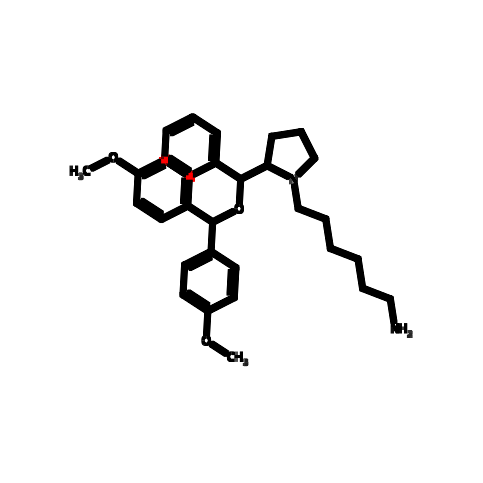 COc1ccc(C(OC(c2ccccc2)C2CCCN2CCCCCCN)c2ccc(OC)cc2)cc1